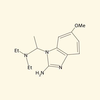 CCN(CC)C(C)n1c(N)nc2ccc(OC)cc21